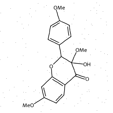 COc1ccc(C2Oc3cc(OC)ccc3C(=O)C2(O)OC)cc1